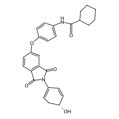 O=C(Nc1ccc(Oc2ccc3c(c2)C(=O)N(C2=CC[C@@H](O)C=C2)C3=O)cc1)C1CCCCC1